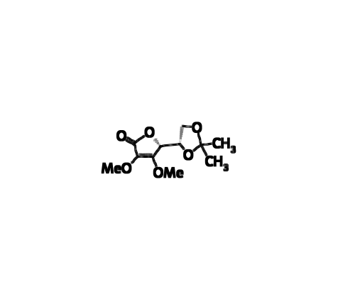 COC1=C(OC)[C@@H]([C@@H]2COC(C)(C)O2)OC1=O